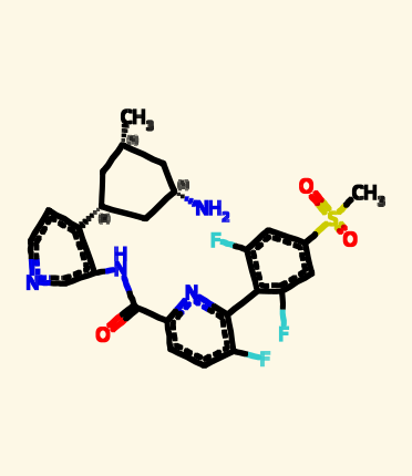 C[C@@H]1C[C@H](N)C[C@H](c2ccncc2NC(=O)c2ccc(F)c(-c3c(F)cc(S(C)(=O)=O)cc3F)n2)C1